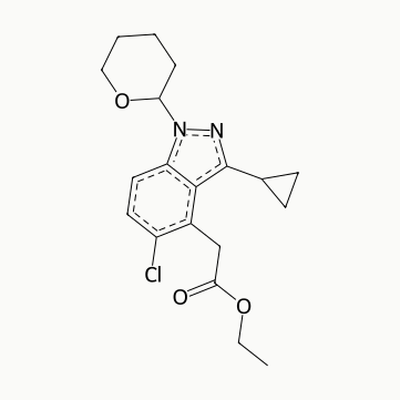 CCOC(=O)Cc1c(Cl)ccc2c1c(C1CC1)nn2C1CCCCO1